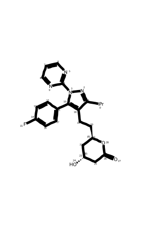 CC(C)c1nn(-c2ncccn2)c(-c2ccc(F)cc2)c1CC[C@@H]1C[C@@H](O)CC(=O)O1